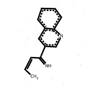 C/C=C\C(=N)c1cnc2ccccc2c1